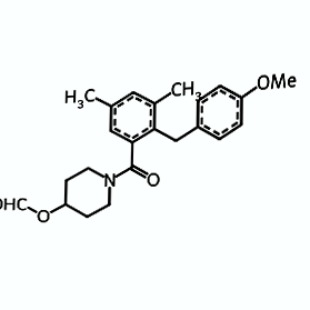 COc1ccc(Cc2c(C)cc(C)cc2C(=O)N2CCC(OC=O)CC2)cc1